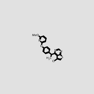 [CH2]C(c1ccc(Oc2cccc(OC)n2)cc1)c1ncnc2scc(Cl)c12